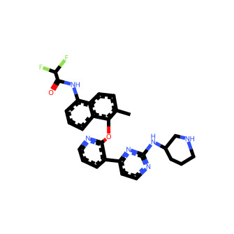 Cc1ccc2c(NC(=O)C(F)F)cccc2c1Oc1ncccc1-c1ccnc(NC2CCCNC2)n1